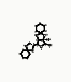 OC1O[C@@H]([C@H]2COC3(CCCCC3)O2)C2OC3(CCCCC3)O[C@@H]12